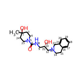 CC1(O)CCN(C(=O)NC[C@H](O)CN2CCc3ccccc3C2)CC1